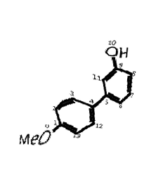 COc1ccc(-c2cccc(O)c2)cc1